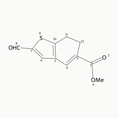 COC(=O)C1=Cc2cc(C=O)sc2CC1